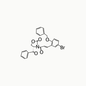 O=C(c1ccccc1)[C@@H]1COC(=O)N1C(=O)C=Cc1cc(Br)ccc1OCc1ccccc1